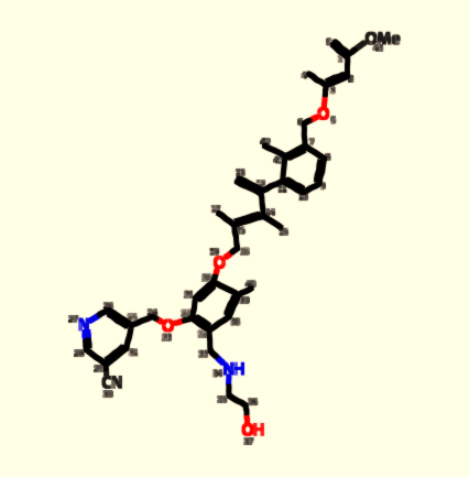 C=C(/C=C(\C)OCc1cccc(C(=C)/C(C)=C(\C)COc2cc(OCc3cncc(C#N)c3)c(CNCCO)cc2C)c1C)OC